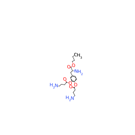 CCCCOC(=O)[C@@H](N)Cc1ccc(OC(=O)CCCN)c(OC(=O)CCCN)c1